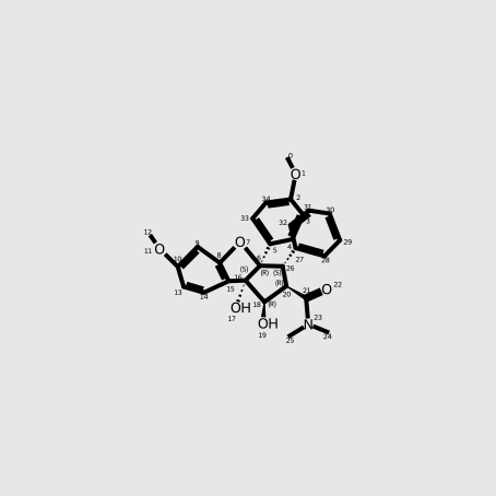 COc1ccc([C@@]23Oc4cc(OC)ccc4[C@]2(O)[C@H](O)[C@H](C(=O)N(C)C)[C@H]3c2ccccc2)cc1